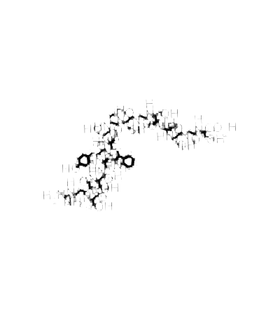 CC(C)C[C@H](NC(=O)[C@H](CO)NC(=O)[C@H](Cc1c[nH]c2ccccc12)NC(=O)[C@H](Cc1ccc(O)cc1)NC(=O)[C@H](C)NC(=O)[C@@H](NC(=O)[C@H](CCCNC(=N)N)NC(=O)[C@@H](N)[C@@H](C)O)[C@@H](C)O)C(=O)N[C@@H](CS)C(=O)NCC(=O)N[C@@H](CO)C(=O)NCC(=O)N[C@@H](CO)C(=O)NCC(=O)N[C@@H](CO)C(=O)O